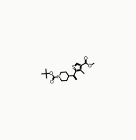 C=C(c1scc(C(=O)OC)c1C)C1CCN(C(=O)OC(C)(C)C)CC1